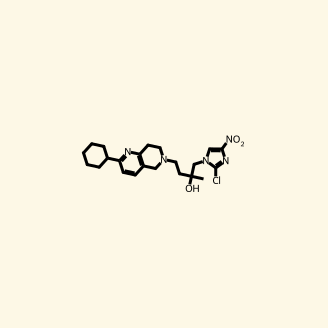 CC(O)(CCN1CCc2nc(C3CCCCC3)ccc2C1)Cn1cc([N+](=O)[O-])nc1Cl